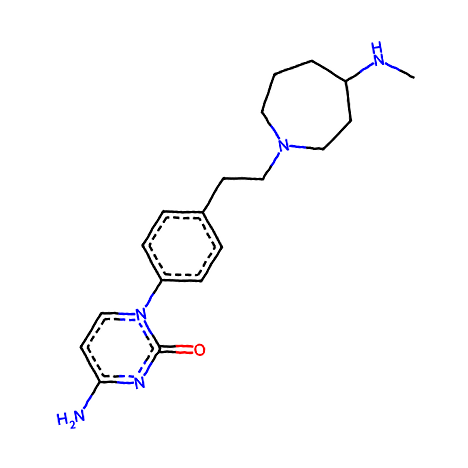 CNC1CCCN(CCc2ccc(-n3ccc(N)nc3=O)cc2)CC1